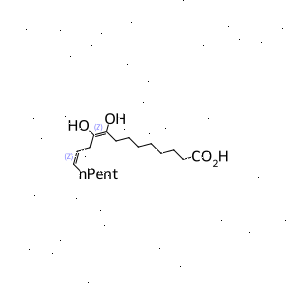 CCCCC/C=C\C/C(O)=C(/O)CCCCCCCC(=O)O